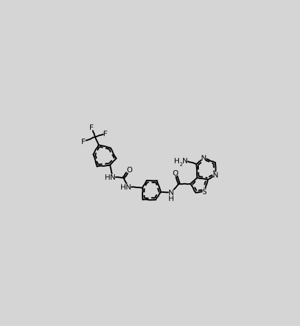 Nc1ncnc2scc(C(=O)Nc3ccc(NC(=O)Nc4ccc(C(F)(F)F)cc4)cc3)c12